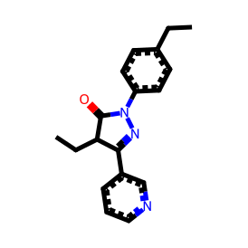 CCc1ccc(N2N=C(c3cccnc3)C(CC)C2=O)cc1